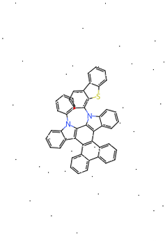 c1ccc(-n2c3ccccc3c3c4c5ccccc5c5ccccc5c4c4c5ccccc5n(-c5cccc6c5sc5ccccc56)c4c32)cc1